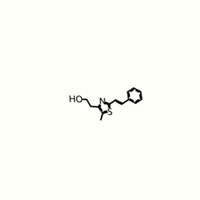 Cc1sc(/C=C/c2ccccc2)nc1CCO